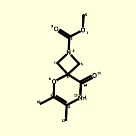 COC(=O)N1CC2(C1)OC(C)=C(C)NC2=O